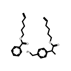 C=CCCCCOC(=O)C(C)c1ccc(CC(C)C)cc1.C=CCCCCOC(=O)c1ccccc1